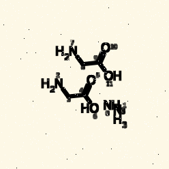 N.N.NCC(=O)O.NCC(=O)O